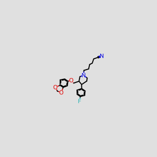 N#CCCCCCN1CCC(c2ccc(F)cc2)C(COc2ccc3c(c2)OCO3)C1